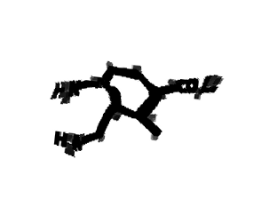 CCOC(=O)C1=C(C)/C(=C/N)N(N)C=C1